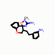 CN1OC2(N=C1N)c1ccccc1OCC2CCc1cccc(N)c1